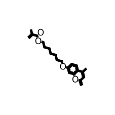 C=C1C=C(C)c2ccc(OCCCCCCCOC(=O)C(=C)C)cc2O1